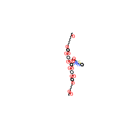 C=CC(=O)CCCCCCCCOc1ccc(OC(=O)[C@H]2CC[C@H](C(=O)Oc3ccc(OC(=O)[C@H]4CC[C@H](C(=O)Oc5ccc(OCCCCCCOC(=O)C=C)cc5)CC4)cc3/C=N/N(CC3OCCO3)c3nc4ccccc4s3)CC2)cc1